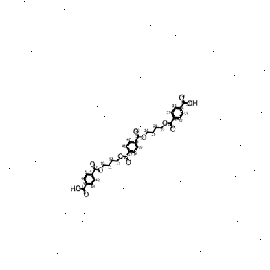 O=C(O)c1ccc(C(=O)OCCCCOC(=O)c2ccc(C(=O)OCCCCOC(=O)c3ccc(C(=O)O)cc3)cc2)cc1